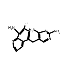 Nc1ncc(Cc2cc(Cl)c(N)c3ncccc23)c(N)n1